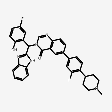 CN1CCC(c2ccc(-c3ccc4ncn(C(c5nc6ccccc6[nH]5)c5cc(F)ccc5O)c(=O)c4c3)cc2F)CC1